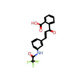 O=C(O)c1ccccc1C(=O)/C=C/c1cccc(NC(=O)C(F)(F)F)c1